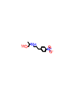 CC(CO)NCCCc1ccc([N+](=O)[O-])cc1